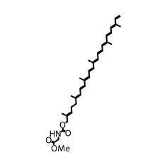 C=C/C(C)=C/C=C/C(C)=C/C=C/C=C(C)/C=C/C=C(C)/C=C/C=C(\C)CC/C=C(\C)COC(=O)NCC(=O)OC